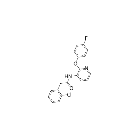 O=C(Cc1ccccc1Cl)Nc1cccnc1Oc1ccc(F)cc1